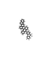 CC1(C)c2ccccc2-c2cc(-c3c4ccccc4c(-c4cccc5c4ccc4c6ccccc6sc54)c4ccccc34)ccc21